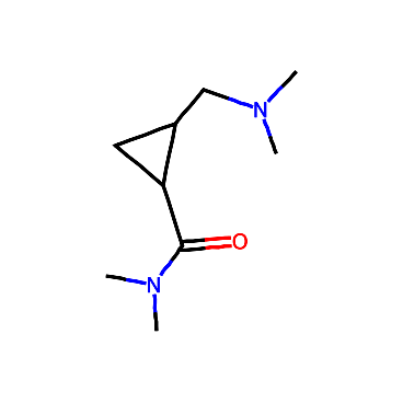 CN(C)CC1CC1C(=O)N(C)C